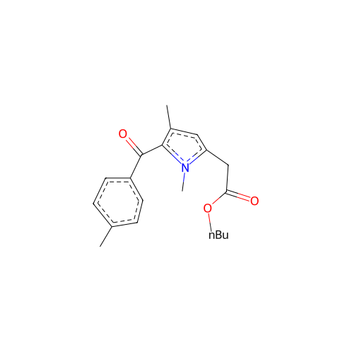 CCCCOC(=O)Cc1cc(C)c(C(=O)c2ccc(C)cc2)n1C